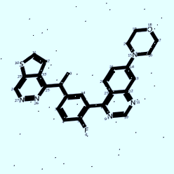 CC(c1ccc(F)c(-c2ncnc3cc(N4CCOCC4)ccc23)c1)c1nncc2sccc12